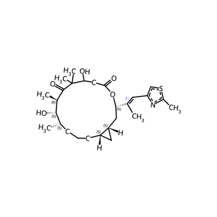 C/C(=C\c1csc(C)n1)[C@@H]1C[C@@H]2C[C@@H]2CCC[C@H](C)[C@H](O)[C@@H](C)C(=O)C(C)(C)C(O)CC(=O)O1